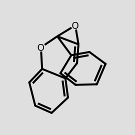 C1=C2OC2(c2ccccc2)Oc2ccccc21